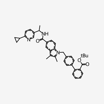 Cc1c(C)n(Cc2ccc(-c3ccccc3C(=O)OC(C)(C)C)cc2)c2ccc(C(=O)NC(C)c3ccc(C4CC4)nc3)cc12